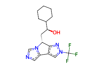 O[C@@H](C[C@@H]1c2nn(C(F)(F)F)cc2-c2cncn21)C1CCCCC1